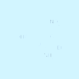 CCC(Oc1cc(C=O)ccc1[N+](=O)[O-])C(N)=O